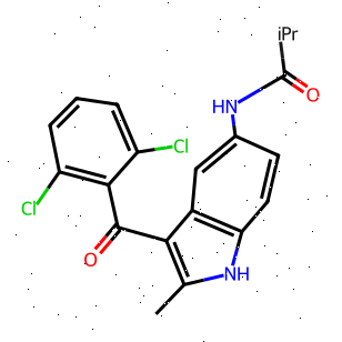 Cc1[nH]c2ccc(NC(=O)C(C)C)cc2c1C(=O)c1c(Cl)cccc1Cl